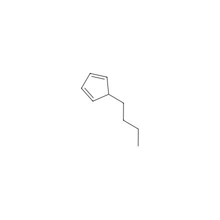 CCCCC1C=CC=C1